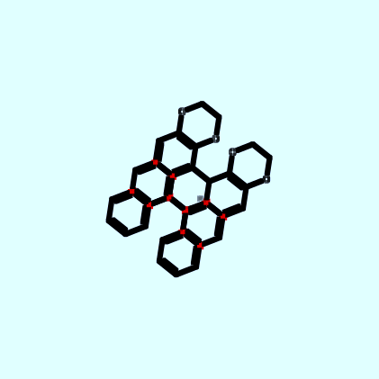 C1=C[C@@H](P(c2ccccc2)c2ccccc2)C(c2c(P(c3ccccc3)c3ccccc3)ccc3c2OCCO3)C2=C1OCCO2